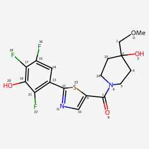 COCC1(O)CCN(C(=O)c2cnc(-c3cc(F)c(F)c(O)c3F)s2)CC1